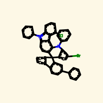 Clc1cccc2c1c1c3c(ccc1n2-c1ccccc1)C1(c2ccccc2-c2ccc(-c4ccccc4)cc21)c1ccc(Br)cc1N3c1ccccc1